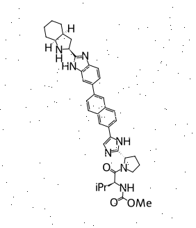 COC(=O)N[C@H](C(=O)N1CCC[C@H]1c1ncc(-c2ccc3cc(-c4ccc5nc([C@@H]6C[C@@H]7CCCC[C@@H]7N6)[nH]c5c4)ccc3c2)[nH]1)C(C)C